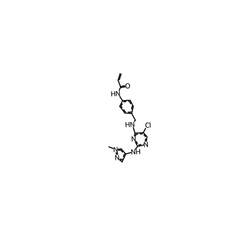 C=CC(=O)Nc1ccc(CNc2nc(Nc3cnn(C)c3)ncc2Cl)cc1